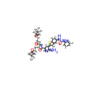 Cc1cccc(NC(=O)Nc2ccc3sc(-c4cc(C(=O)N=S(=O)(CCCO[Si](C)(C)C(C)(C)C)CCCO[Si](C)(C)C(C)(C)C)cnc4N)cc3c2)c1